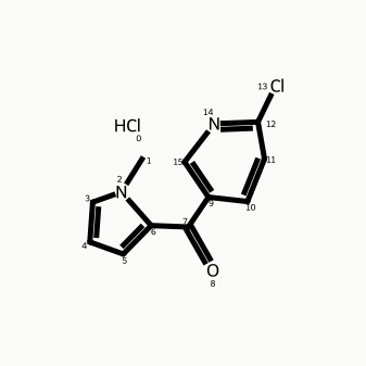 Cl.Cn1cccc1C(=O)c1ccc(Cl)nc1